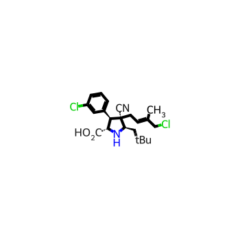 C/C(=C\C[C@]1(C#N)[C@H](c2cccc(Cl)c2)[C@@H](C(=O)O)N[C@@H]1CC(C)(C)C)CCl